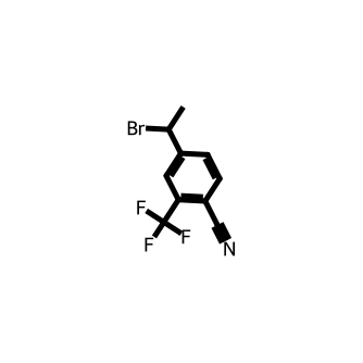 CC(Br)c1ccc(C#N)c(C(F)(F)F)c1